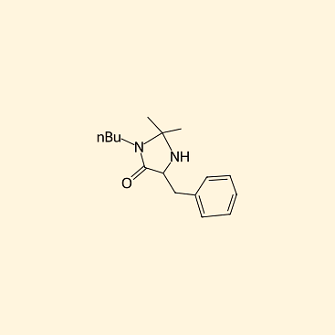 CCCCN1C(=O)C(Cc2ccccc2)NC1(C)C